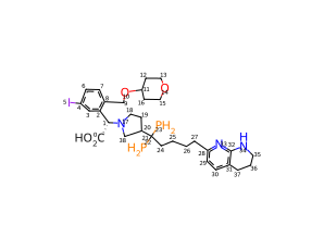 O=C(O)[C@H](c1cc(I)ccc1COC1CCOCC1)N1CCC(C(P)(P)CCCCc2ccc3c(n2)NCCC3)C1